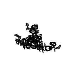 C=CC(=O)OCC(F)(F)C(F)(F)OC(OC(F)(F)C(F)(F)COC(=O)C=C)(OC(F)(F)C(F)(F)COC(=O)C=C)C(F)(F)F